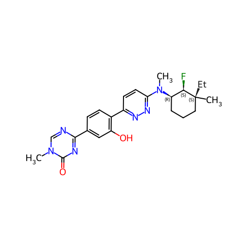 CC[C@@]1(C)CCC[C@@H](N(C)c2ccc(-c3ccc(-c4ncn(C)c(=O)n4)cc3O)nn2)[C@H]1F